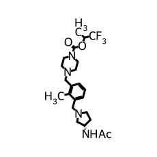 CC(=O)N[C@H]1CCN(Cc2cccc(CN3CCN(C(=O)OC(C)C(F)(F)F)CC3)c2C)C1